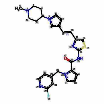 CN1CCC(n2ccc(/C=C/c3csc(NC(=O)c4cccn4Cc4ccnc(F)c4)n3)c2)CC1